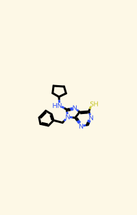 Sc1ncnc2c1nc(NC1CCCC1)n2Cc1ccccc1